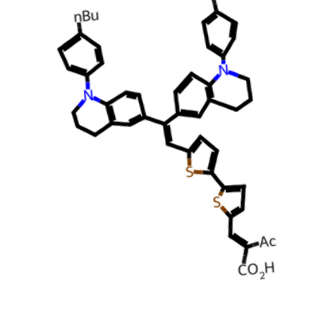 CCCCc1ccc(N2CCCc3cc(C(=Cc4ccc(-c5ccc(/C=C(\C(C)=O)C(=O)O)s5)s4)c4ccc5c(c4)CCCN5c4ccc(CCCC)cc4)ccc32)cc1